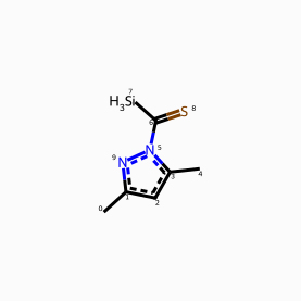 Cc1cc(C)n(C([SiH3])=S)n1